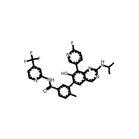 Cc1ccc(C(=O)Nc2cc(C(F)(F)F)ccn2)cc1-c1cc2cnc(NC(C)C)nc2c(-c2ccc(F)nc2)c1O